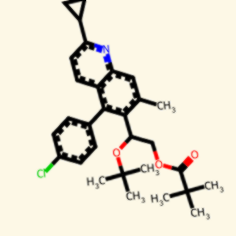 Cc1cc2nc(C3CC3)ccc2c(-c2ccc(Cl)cc2)c1C(COC(=O)C(C)(C)C)OC(C)(C)C